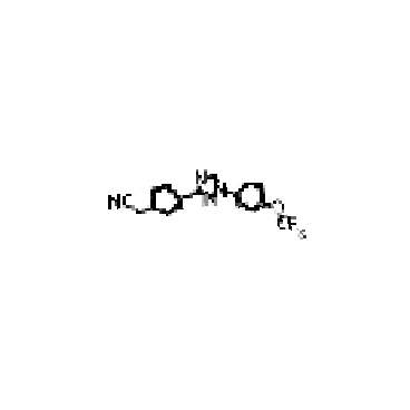 N#CCc1ccc(-c2ncn(-c3ccc(OC(F)(F)F)cc3)n2)cc1